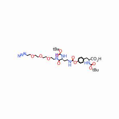 CC(C)(C)OC(=O)N[C@@H](Cc1ccc(OC(=O)NCC[C@H](NC(=O)OC(C)(C)C)C(=O)NCCOCCOCCOCCN=[N+]=[N-])cc1)C(=O)O